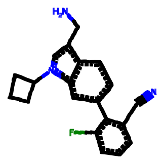 N#Cc1cccc(F)c1-c1ccc2c(CN)cn(C3CCC3)c2c1